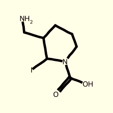 NCC1CCCN(C(=O)O)C1I